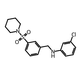 O=S(=O)(c1cccc(CNc2cccc(Cl)c2)c1)N1CCCCC1